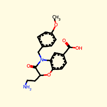 COc1ccc(CN2C(=O)C(CCN)Oc3ccc(C(=O)O)cc32)cc1